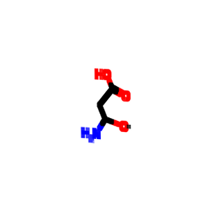 NC([O])CC(=O)O